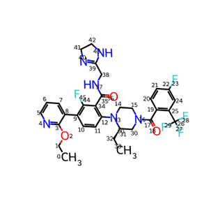 CCOc1ncccc1-c1ccc(N2CCN(C(=O)c3ccc(F)cc3C(F)(F)F)C[C@H]2CC)c(C(=O)NCC2=NCCN2)c1F